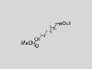 [CH2]OC(=O)OCCCCCCCCCCCCCCCC